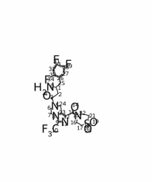 NC(CC(=O)N1CCn2c(C(F)(F)F)nc(C(=O)N3CCS(=O)(=O)CC3)c2C1)Cc1cc(F)c(F)cc1F